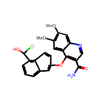 COc1cc2ncc(C(N)=O)c(Oc3ccc4c(C(O)Cl)cccc4c3)c2cc1OC